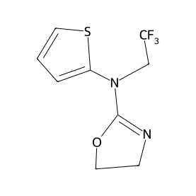 FC(F)(F)CN(C1=NCCO1)c1cccs1